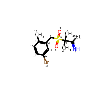 CCC(=N)C(C)(C)S(=O)(=O)Cc1cc(Br)ccc1C